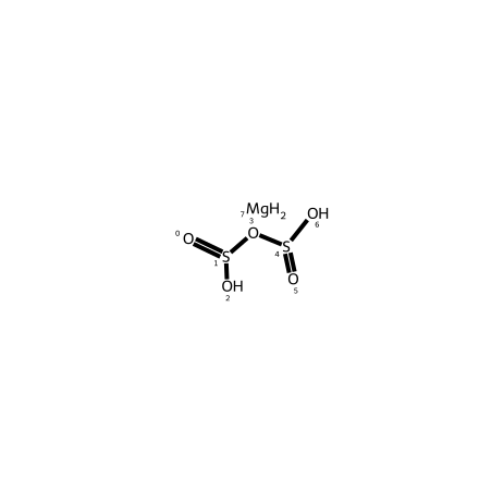 O=S(O)OS(=O)O.[MgH2]